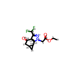 CCOC(=O)Cn1nc(C(F)F)c2c1C1CC1CC2=O